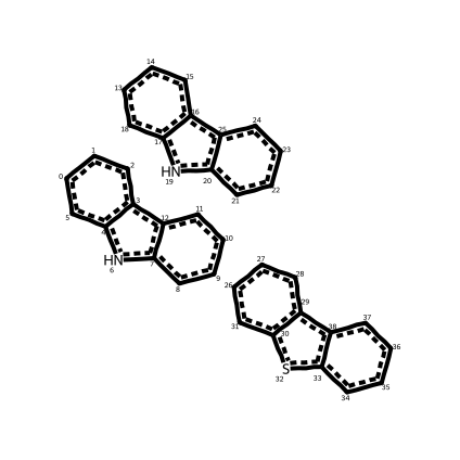 c1ccc2c(c1)[nH]c1ccccc12.c1ccc2c(c1)[nH]c1ccccc12.c1ccc2c(c1)sc1ccccc12